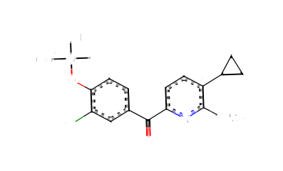 COc1nc(C(=O)c2ccc(O[Si](C)(C)C(C)(C)C)c(Cl)c2)ccc1C1CC1